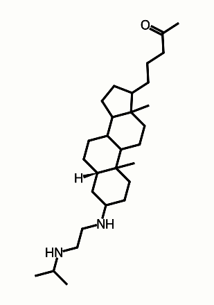 CC(=O)CCCC1CCC2C3CC[C@H]4CC(NCCNC(C)C)CCC4(C)C3CCC12C